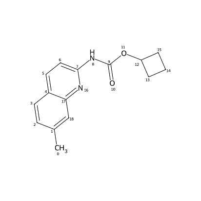 Cc1ccc2ccc(NC(=O)OC3CCC3)nc2c1